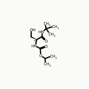 CC(C)OC(=O)N[C@@H](CO)C(=O)NC(C)(C)C